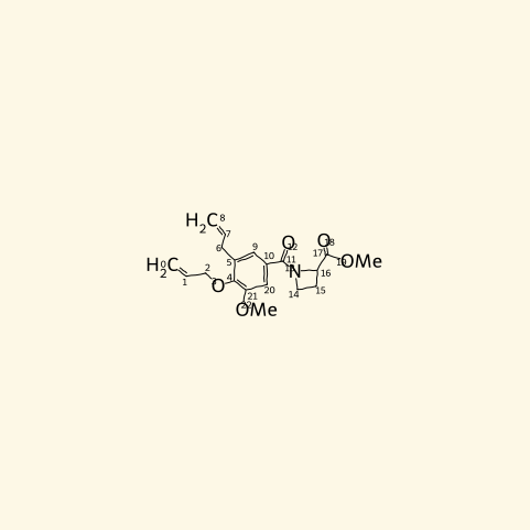 C=CCOc1c(CC=C)cc(C(=O)N2CCC2C(=O)OC)cc1OC